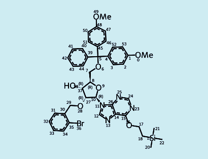 COc1ccc(C(OC[C@H]2O[C@@H](n3cnc4c(OCC[Si](C)(C)C)ncnc43)[C@H](OCc3ccccc3Br)[C@@H]2O)(c2ccccc2)c2ccc(OC)cc2)cc1